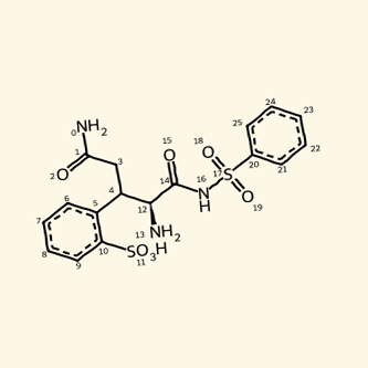 NC(=O)CC(c1ccccc1S(=O)(=O)O)[C@H](N)C(=O)NS(=O)(=O)c1ccccc1